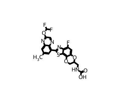 Cc1cc(-c2nc3c(F)cc4c(c3s2)OCC(CNC(=O)O)O4)c2ncc(OC(F)F)nc2c1